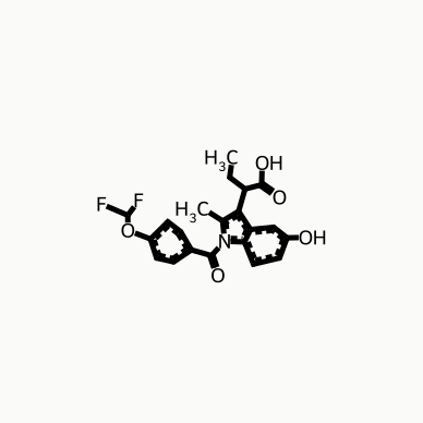 CCC(C(=O)O)c1c(C)n(C(=O)c2ccc(OC(F)F)cc2)c2ccc(O)cc12